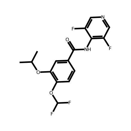 CC(C)Oc1cc(C(=O)Nc2c(F)cncc2F)ccc1OC(F)F